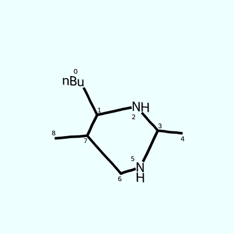 CCCCC1NC(C)NCC1C